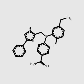 CCc1ccc(F)c(N(Cc2nc(-c3ccccc3)c[nH]2)c2ccc(C(=N)N)cc2)c1